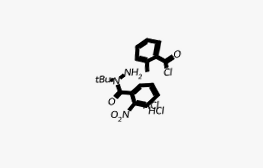 CC(C)(C)N(N)C(=O)c1ccccc1[N+](=O)[O-].Cc1ccccc1C(=O)Cl.Cl.Cl